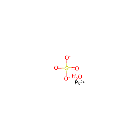 O.O=S(=O)([O-])[O-].[Pt+2]